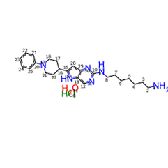 Cl.NCCCCCCCNc1ncc2[nH]c(C3CCN(c4ccccc4)CC3)cc2n1.O